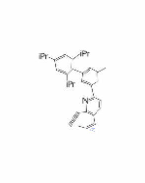 C#Cc1nc(-c2cc(C)cc(-c3c(C(C)C)cc(C(C)C)cc3C(C)C)c2)ccc1/C=C\C